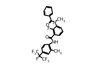 Cc1cc(C(F)(C(F)(F)F)C(F)(F)F)ccc1NC(=O)c1cccc(N(C)C(=O)c2ccccc2)c1F